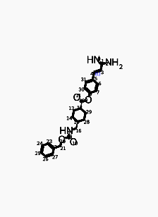 N=C(N)/C=C/c1ccc(OC(=O)[C@H]2CC[C@H](CNC(=O)OCc3ccccc3)CC2)cc1